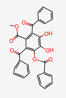 COC(=O)c1c(C(=O)c2ccccc2)c(O)c(O)c(OC(=O)c2ccccc2)c1C(=O)c1ccccc1